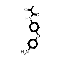 CC(=O)C(=O)Nc1ccc(Oc2ccc(N)cc2)cc1